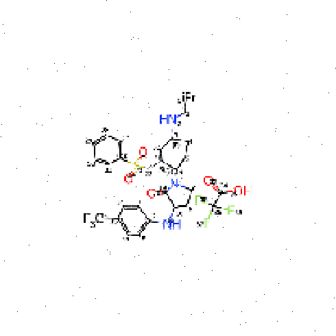 CC(C)CN[C@@H]1CC[C@H](N2CCC(Nc3ccc(C(F)(F)F)cc3)C2=O)[C@H](CS(=O)(=O)c2ccccc2)C1.O=C(O)C(F)(F)F